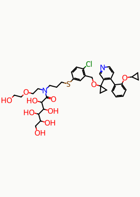 O=C(C(O)C(O)C(O)C(O)CO)N(CCCSc1ccc(Cl)c(COC2(c3cnccc3-c3ccccc3OC3CC3)CC2)c1)CCOCCO